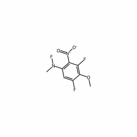 COc1c(F)cc(N(C)F)c([N+](=O)[O-])c1F